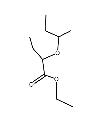 CCOC(=O)C(CC)OC(C)CC